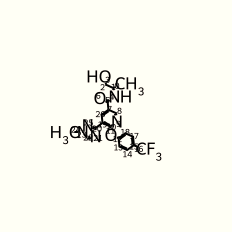 C[C@H](CO)NC(=O)c1cnc(Oc2ccc(C(F)(F)F)cc2)c(-c2ncn(C)n2)c1